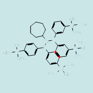 CCCC[Si](CCCC)(CCCC)c1ccc(P(c2ccc([Si](CCCC)(CCCC)CCCC)cc2)N(C2CCCCCC2)P(c2cccc([Si](CCCC)(CCCC)CCCC)c2)c2cccc([Si](CCCC)(CCCC)CCCC)c2)cc1